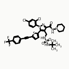 CC(C)(C)NS(=O)(=O)NCc1c(C(=O)NN2CCCCC2)nn(-c2ccc(Cl)cc2Cl)c1-c1ccc(C#Cc2ccc(C(F)(F)F)cc2)s1